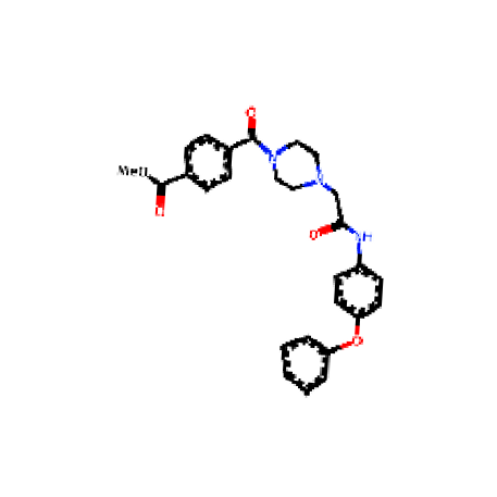 COC(=O)c1ccc(C(=O)N2CCN(CC(=O)Nc3ccc(Oc4ccccc4)cc3)CC2)cc1